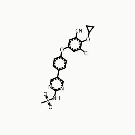 CS(=O)(=O)Nc1ncc(-c2ccc(Oc3cc(Cl)c(OC4CC4)c(C#N)c3)cc2)cn1